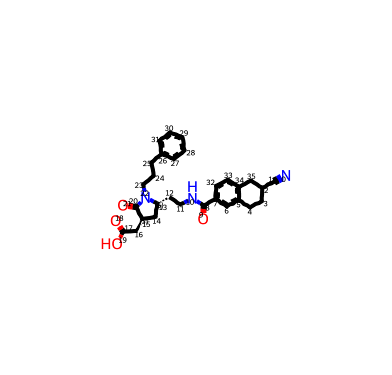 N#CC1CCc2cc(C(=O)NCC[C@@H]3C[C@@H](CC(=O)O)C(=O)N3CCCc3ccccc3)ccc2C1